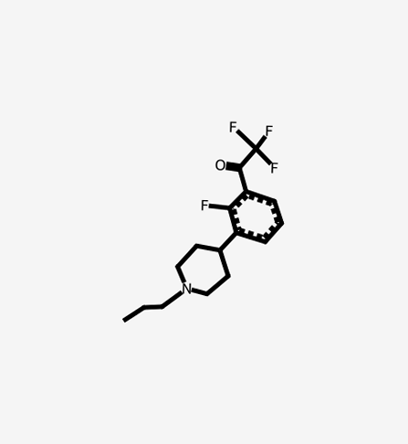 CCCN1CCC(c2cccc(C(=O)C(F)(F)F)c2F)CC1